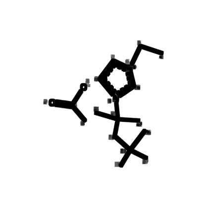 CC(=O)[O-].CC[n+]1ccn(C(C)(C)CC(C)(C)C)c1